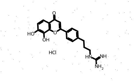 Cl.N=C(N)NCCCc1ccc(-c2cc(=O)c3ccc(O)c(O)c3o2)cc1